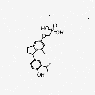 Cc1cc(OCP(=O)(O)O)cc2c1[C@@H](c1ccc(O)c(C(C)C)c1)CC2